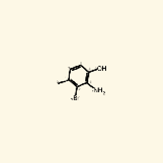 Cc1ccc(O)c(N)c1Br